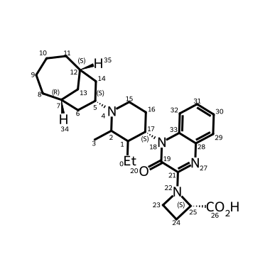 CCC1C(C)N([C@@H]2C[C@@H]3CCCC[C@@H](C3)C2)CC[C@@H]1n1c(=O)c(N2CC[C@H]2C(=O)O)nc2ccccc21